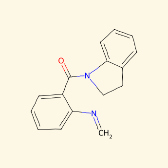 C=Nc1ccccc1C(=O)N1CCc2ccccc21